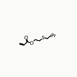 C=CC(=O)OCCSCC(C)C